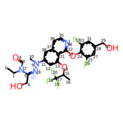 CCN(C=O)/C(CO)=N\N(C)c1cc(OC(C)C(F)(F)F)c2c(Oc3c(F)cc(CO)cc3F)nccc2c1